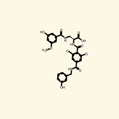 BOc1cc(O)cc(C(=O)NC[C@H](NC(=O)c2c(Cl)cc(C(=O)NCc3cccc(O)c3)cc2Cl)C(=O)O)c1